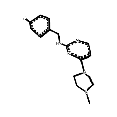 CN1CCN(c2ccnc(NCc3ccc(F)cc3)n2)CC1